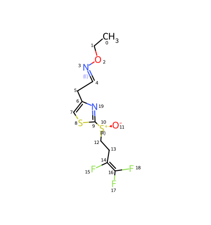 CCO/N=C/Cc1csc([S@@+]([O-])CCC(F)=C(F)F)n1